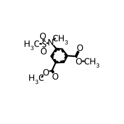 COC(=O)c1cc(C(=O)OC)cc(N(C)S(C)(=O)=O)c1